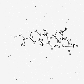 CCC(=O)N1CC[C@@H](Nc2cccc3c2cc(I)n3CC(F)(F)F)[C@@H](F)C1